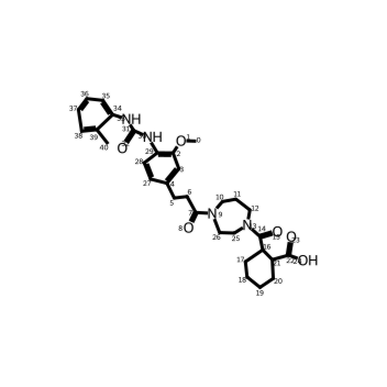 COc1cc(CCC(=O)N2CCCN(C(=O)C3CCCCC3C(=O)O)CC2)ccc1NC(=O)Nc1ccccc1C